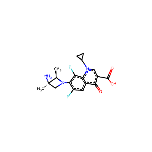 C[C@H]1N(c2c(F)cc3c(=O)c(C(=O)O)cn(C4CC4)c3c2F)C[C@@]1(C)N